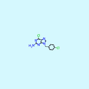 Nc1nc(Cl)c2ncn(Cc3ccc(Cl)cc3)c2n1